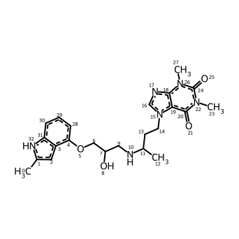 Cc1cc2c(OCC(O)CNC(C)CCn3cnc4c3c(=O)n(C)c(=O)n4C)cccc2[nH]1